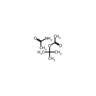 CC(=O)OC(C)(C)C.CC(N)=O